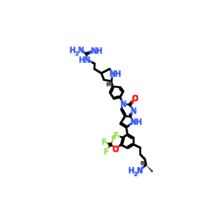 C[C@H](N)CCCc1cc(OC(F)(F)F)c(F)c(-c2cc3cn(-c4ccc([C@H]5CC(CCNC(=N)N)CN5)cc4)c(=O)nc3[nH]2)c1